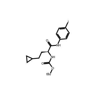 CC(C)(C)OC(=O)N[C@@H](CCC1CC1)C(=O)Nc1ccc(I)cc1